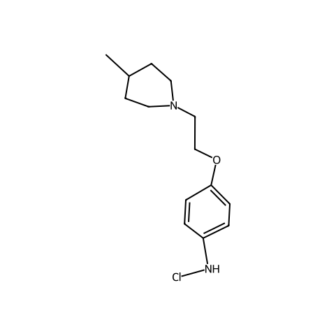 CC1CCN(CCOc2ccc(NCl)cc2)CC1